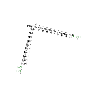 Cl.Cl.Cl.Cl.[NaH].[NaH].[NaH].[NaH].[NaH].[NaH].[NaH].[NaH].[NaH].[NaH].[NaH].[NaH].[NaH].[NaH].[NaH].[NaH].[NaH].[NaH].[NaH].[NaH].[NaH]